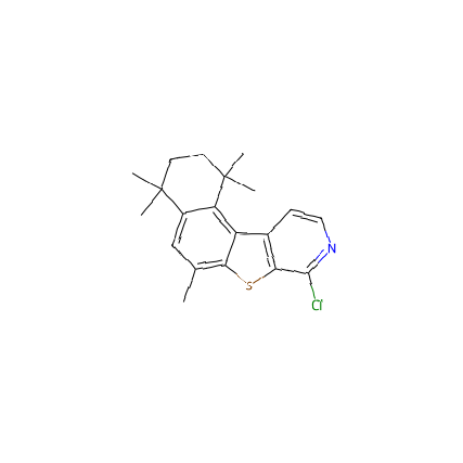 Cc1cc2c(c3c1sc1c(Cl)nccc13)C(C)(C)CCC2(C)C